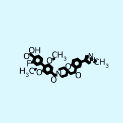 CCOc1cc(C(=O)N2CCC3(CC2)CC(=O)c2cc(-c4cnn(C)c4)ccc2O3)cc(OCC)c1-c1ccc(C(=O)O)c(F)c1